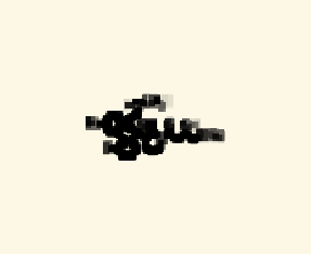 CCc1cccc(-c2c(F)cccc2[C@](O)(CCCNC(=O)O)C2CCCN(C(=O)C[C@@H](O)CNC)C2)c1